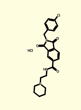 Cl.O=C(NCCN1CCCCC1)c1ccc2c(c1)C(=O)N(Cc1ccc(Cl)cc1)C2=O